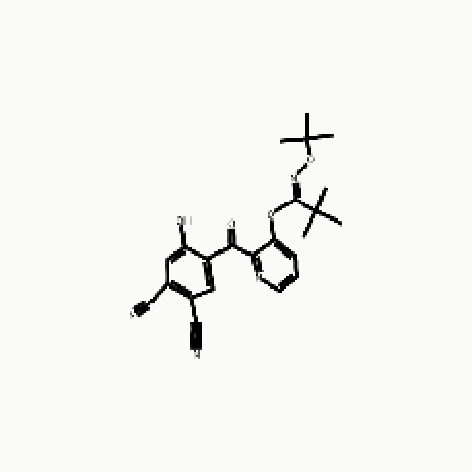 CC(C)(C)ON=C(Oc1cccnc1C(=O)c1cc(C#N)c(C#N)cc1O)C(C)(C)C